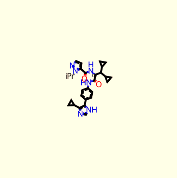 CC(C)n1nccc1C(=O)N[C@H](C(=O)Nc1ccc(-c2[nH]cnc2C2CC2)cc1)C(C1CC1)C1CC1